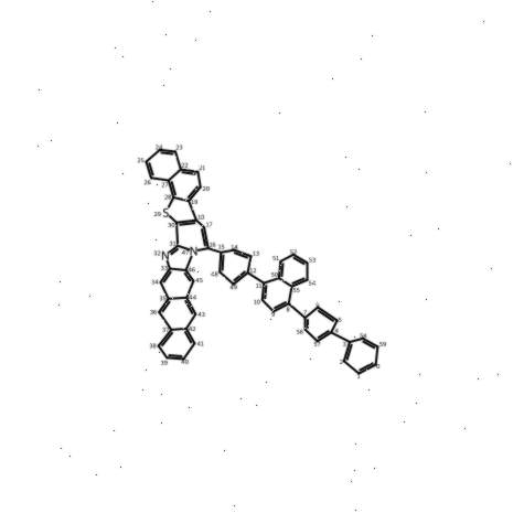 c1ccc(-c2ccc(-c3ccc(-c4ccc(-c5cc6c7ccc8ccccc8c7sc6c6nc7cc8cc9ccccc9cc8cc7n56)cc4)c4ccccc34)cc2)cc1